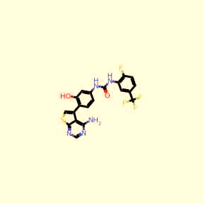 Nc1ncnc2scc(-c3ccc(NC(=O)Nc4cc(C(F)(F)F)ccc4F)cc3O)c12